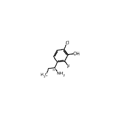 CC[C@H](N)c1ccc(Cl)c(O)c1F